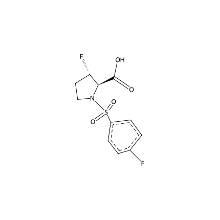 O=C(O)[C@@H]1[C@@H](F)CCN1S(=O)(=O)c1ccc(F)cc1